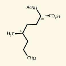 CCOC(=O)[C@H](CC[C@H](C)CCC=O)NC(C)=O